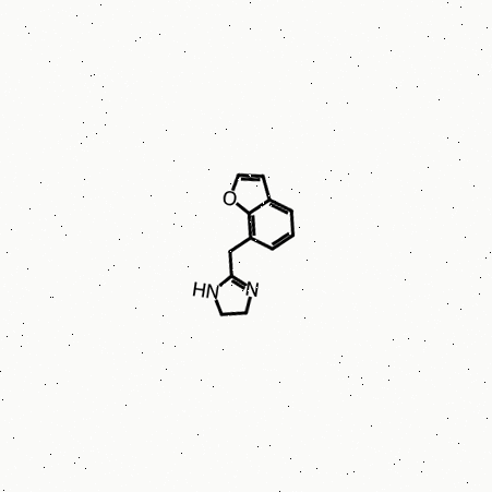 c1cc(CC2=NCCN2)c2occc2c1